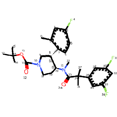 Cc1cc(F)ccc1[C@H]1CN(C(=O)OC(C)(C)C)CC[C@@H]1N(C)C(=O)C(C)(C)c1cc(F)cc(F)c1